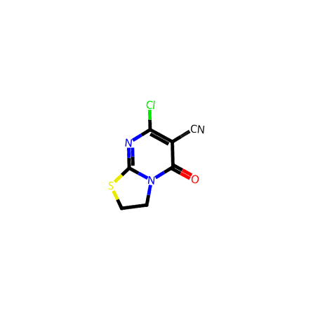 N#Cc1c(Cl)nc2n(c1=O)CCS2